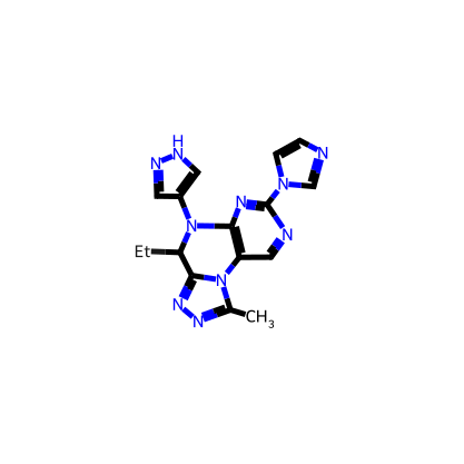 CCC1c2nnc(C)n2-c2cnc(-n3ccnc3)nc2N1c1cn[nH]c1